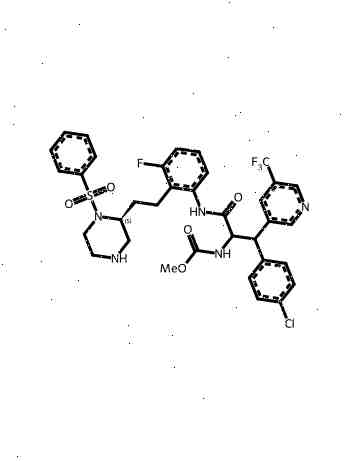 COC(=O)NC(C(=O)Nc1cccc(F)c1CC[C@H]1CNCCN1S(=O)(=O)c1ccccc1)C(c1ccc(Cl)cc1)c1cncc(C(F)(F)F)c1